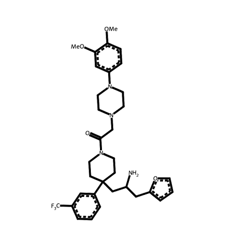 COc1ccc(N2CCN(CC(=O)N3CCC(CC(N)Cc4ccco4)(c4cccc(C(F)(F)F)c4)CC3)CC2)cc1OC